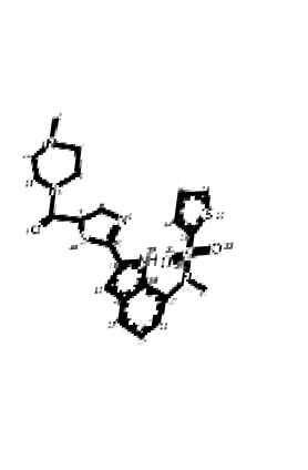 CN1CCN(C(=O)C2CN=C(c3cc4cccc(N(C)S(=O)(=O)c5cccs5)c4[nH]3)S2)CC1